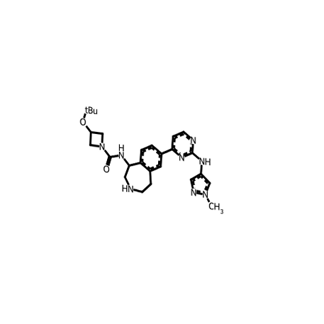 Cn1cc(Nc2nccc(-c3ccc4c(c3)CCNCC4NC(=O)N3CC(OC(C)(C)C)C3)n2)cn1